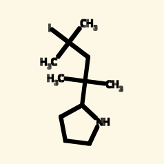 CC(C)(I)CC(C)(C)C1CCCN1